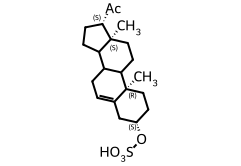 CC(=O)[C@H]1CCC2C3CC=C4C[C@@H](OS(=O)(=O)O)CC[C@]4(C)C3CC[C@@]21C